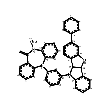 C=C1c2ccccc2N(c2cccc(N3c4ccccc4C4Oc5cc(-c6ccccc6)ccc5C43)c2)c2ccccc2N1CCCC